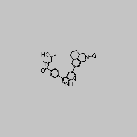 C[C@H](O)CN(C)C(=O)c1ccc(-c2c[nH]c3ncc(-c4cc5c6c(c4)CN(C4CC4)CC6CCC5)cc23)cc1